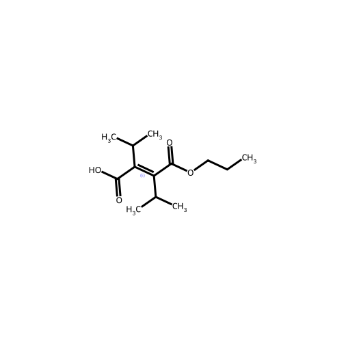 CCCOC(=O)/C(=C(/C(=O)O)C(C)C)C(C)C